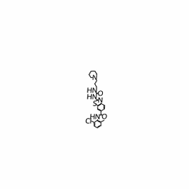 Cc1cccc(Cl)c1NC(=O)c1ccc2nc(NC(=O)NCCCN3CCCCC3)sc2c1